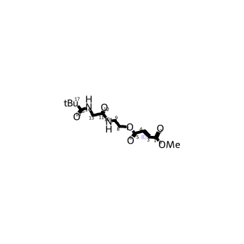 COC(=O)/C=C/C(=O)OCCNC(=O)CNC(=O)C(C)(C)C